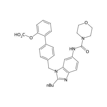 CCCCc1nc2ccc(NC(=O)N3CCOCC3)cc2n1Cc1ccc(-c2ccccc2OC(=O)O)cc1